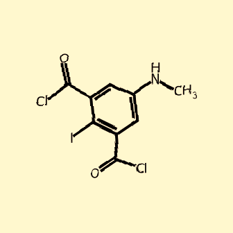 CNc1cc(C(=O)Cl)c(I)c(C(=O)Cl)c1